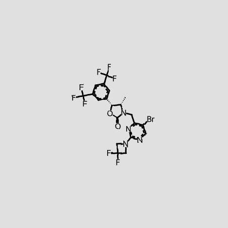 C[C@H]1[C@@H](c2cc(C(F)(F)F)cc(C(F)(F)F)c2)OC(=O)N1Cc1nc(N2CC(F)(F)C2)ncc1Br